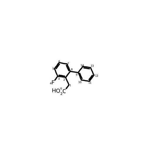 O=C(O)Cc1c(F)cccc1-c1ccccc1